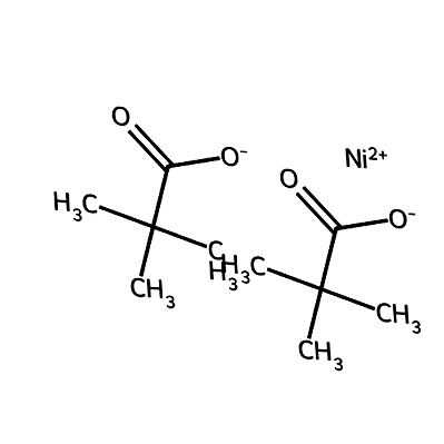 CC(C)(C)C(=O)[O-].CC(C)(C)C(=O)[O-].[Ni+2]